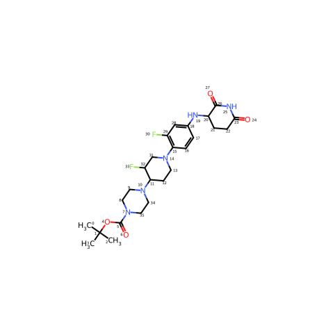 CC(C)(C)OC(=O)N1CCN(C2CCN(c3ccc(NC4CCC(=O)NC4=O)cc3F)CC2F)CC1